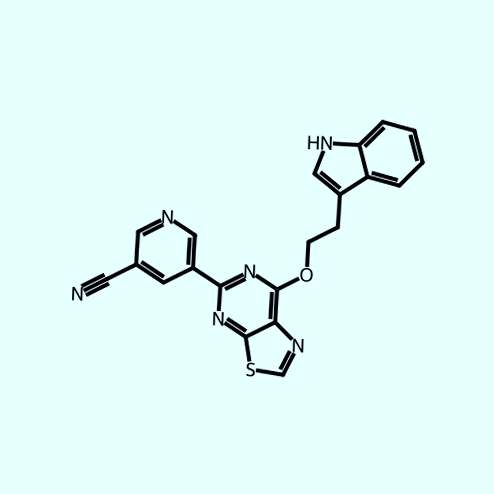 N#Cc1cncc(-c2nc(OCCc3c[nH]c4ccccc34)c3ncsc3n2)c1